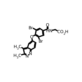 Cc1nnc2ccc(Oc3c(Br)cc(C(=O)NCC(=O)O)cc3Br)cc2c1C